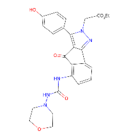 CCOC(=O)Cn1nc2c(c1-c1ccc(O)cc1)C(=O)c1c(NC(=O)NN3CCOCC3)cccc1-2